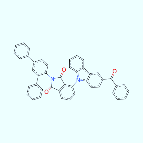 O=C(c1ccccc1)c1ccc2c(c1)c1ccccc1n2-c1cccc2c1C(=O)N(c1ccc(-c3ccccc3)cc1-c1ccccc1)C2=O